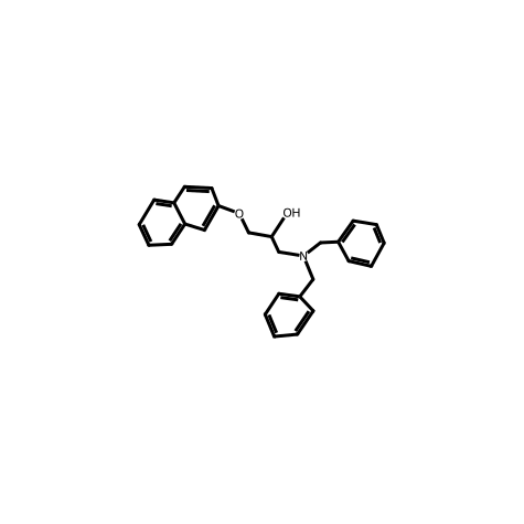 OC(COc1ccc2ccccc2c1)CN(Cc1ccccc1)Cc1ccccc1